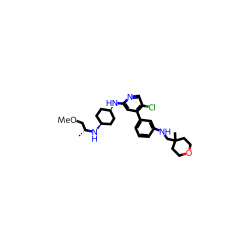 COC[C@@H](C)N[C@H]1CC[C@H](Nc2cc(-c3cccc(NCC4(C)CCOCC4)c3)c(Cl)cn2)CC1